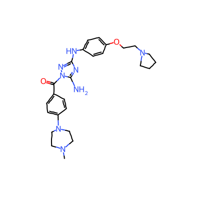 CN1CCN(c2ccc(C(=O)n3nc(Nc4ccc(OCCN5CCCC5)cc4)nc3N)cc2)CC1